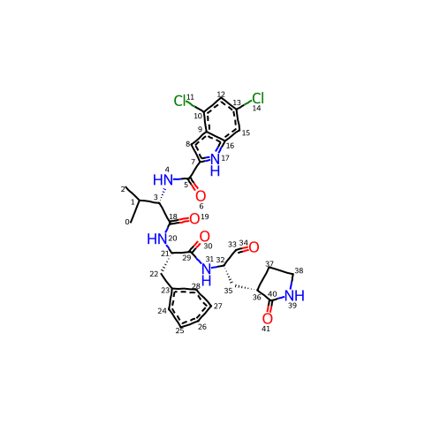 CC(C)[C@H](NC(=O)c1cc2c(Cl)cc(Cl)cc2[nH]1)C(=O)N[C@@H](Cc1ccccc1)C(=O)N[C@H](C=O)C[C@@H]1CCNC1=O